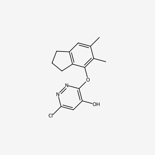 Cc1cc2c(c(Oc3nnc(Cl)cc3O)c1C)CCC2